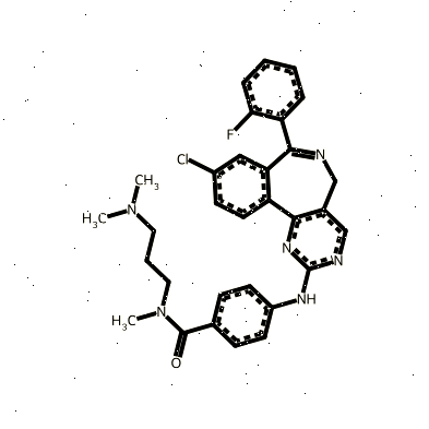 CN(C)CCCN(C)C(=O)c1ccc(Nc2ncc3c(n2)-c2ccc(Cl)cc2C(c2ccccc2F)=NC3)cc1